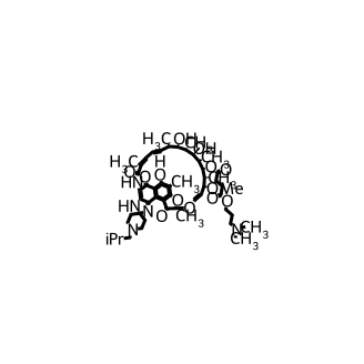 CO[C@H]1/C=C/O[C@@]2(C)Oc3c(C)c(O)c4c(c3C2=O)C2=NC3(CCN(CC(C)C)CC3)NC2=C(NC(=O)/C(C)=C\C=C\[C@H](C)[C@H](O)[C@@H](C)[C@@H](O)[C@@H](C)[C@H](OC(=O)CCC(=O)OCCCN(C)C)[C@@H]1C)C4=O